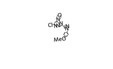 COc1ccc(Cn2cc(-c3cn4nc(Cl)cc(N5CCOCC5)c4n3)cn2)cc1